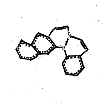 C1=CN2C=Cc3cc4ccccc4cc3B2c2ccccc21